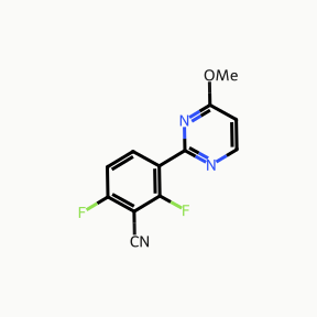 COc1ccnc(-c2ccc(F)c(C#N)c2F)n1